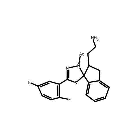 CC(=O)N1N=C(c2cc(F)ccc2F)SC12c1ccccc1CC2CCN